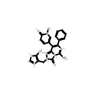 CCn1cc(-c2c(-c3ccccc3)nc(N)n3c(=O)n(Cc4ncoc4C(F)(F)F)nc23)ccc1=O